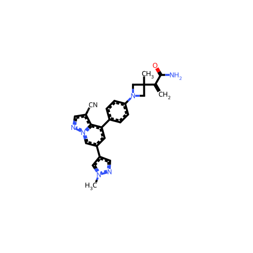 C=C(C(N)=O)C1(C)CN(c2ccc(-c3cc(-c4cnn(C)c4)cn4ncc(C#N)c34)cc2)C1